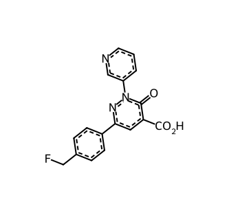 O=C(O)c1cc(-c2ccc(CF)cc2)nn(-c2cccnc2)c1=O